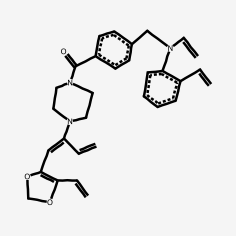 C=CC1=C(/C=C(\C=C)N2CCN(C(=O)c3ccc(CN(C=C)c4ccccc4C=C)cc3)CC2)OCO1